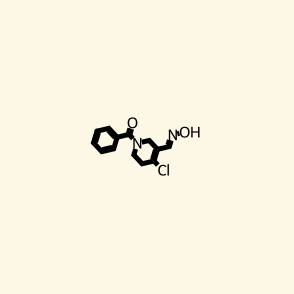 O=C(c1ccccc1)N1CCC(Cl)=C(C=NO)C1